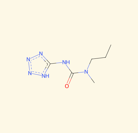 CCCN(C)C(=O)Nc1nnn[nH]1